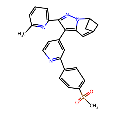 Cc1cccc(-c2nn3c(c2-c2ccnc(-c4ccc(S(C)(=O)=O)cc4)c2)C=C2CC3C2)n1